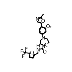 COc1cc(N2CCCN(C(=O)NCc3ccc(C(F)(F)F)o3)CC2)ccc1-c1cnc(C)o1